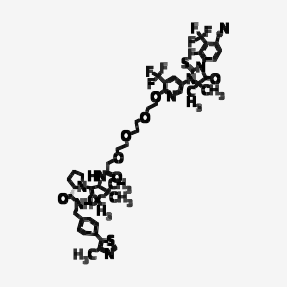 Cc1ncsc1-c1ccc(CNC(=O)[C@@H]2CCCN2C(=O)[C@@H](NC(=O)COCCOCCOCCOc2ncc(N3C(=S)N(c4ccc(C#N)c(C(F)(F)F)c4F)C(=O)C3(C)C)cc2C(F)(F)F)C(C)(C)C)cc1